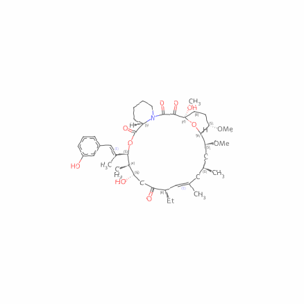 CC[C@@H]1/C=C(\C)C[C@H](C)C[C@H](OC)[C@H]2O[C@@](O)(C(=O)C(=O)N3CCCC[C@H]3C(=O)O[C@H](/C(C)=C/c3cccc(O)c3)[C@H](C)[C@@H](O)CC1=O)[C@H](C)C[C@@H]2OC